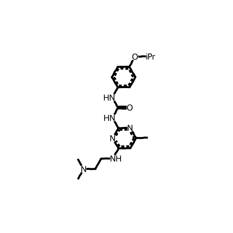 Cc1cc(NCCN(C)C)nc(NC(=O)Nc2ccc(OC(C)C)cc2)n1